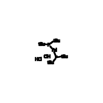 CC(C)(C)[P]([Pd][P](C(C)(C)C)C(C)(C)C)C(C)(C)C.Cl.Cl